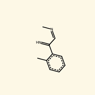 C/N=C\C(=N)c1ccccc1C